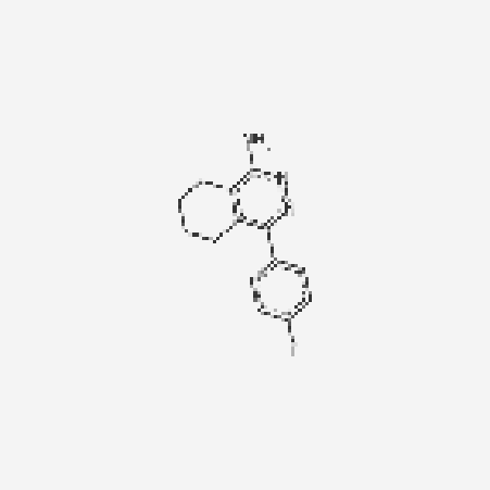 Nc1nnc(-c2ccc(F)cc2)c2c1CCCC2